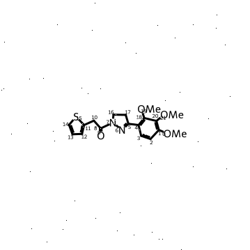 COc1ccc(C2=NN(C(=O)Cc3cccs3)CC2)c(OC)c1OC